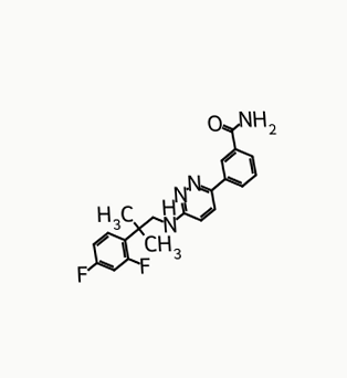 CC(C)(CNc1ccc(-c2cccc(C(N)=O)c2)nn1)c1ccc(F)cc1F